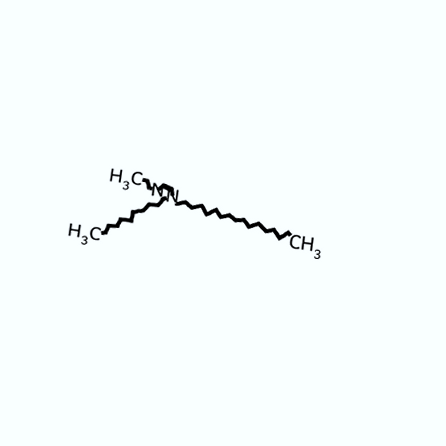 CCCCCCCCCCCCCCCCCN1C=CN(CCC)C1CCCCCCCCCC